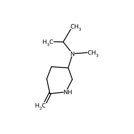 C=C1CCC(N(C)C(C)C)CN1